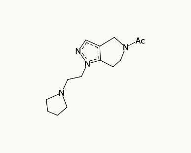 CC(=O)N1CCc2c(cnn2CCN2CCCC2)C1